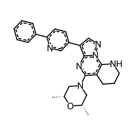 C[C@@H]1CN(c2nc3c(-c4ccc(-c5ccccc5)nc4)cnn3c3c2CCCN3)C[C@H](C)O1